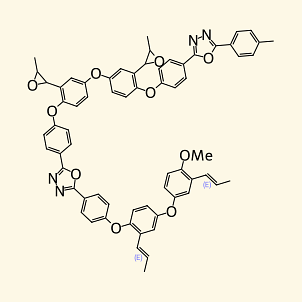 C/C=C/c1cc(Oc2ccc(Oc3ccc(-c4nnc(-c5ccc(Oc6ccc(Oc7ccc(Oc8ccc(-c9nnc(-c%10ccc(C)cc%10)o9)cc8)c(C8OC8C)c7)cc6C6OC6C)cc5)o4)cc3)c(/C=C/C)c2)ccc1OC